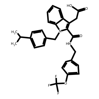 CC(C)c1ccc(Cn2c(C(=O)NCc3ccc(OC(F)(F)F)cc3)c(CC(=O)O)c3ccccc32)cc1